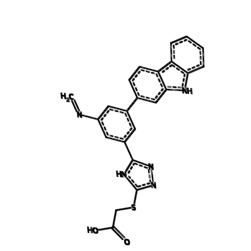 C=Nc1cc(-c2ccc3c(c2)[nH]c2ccccc23)cc(-c2nnc(SCC(=O)O)[nH]2)c1